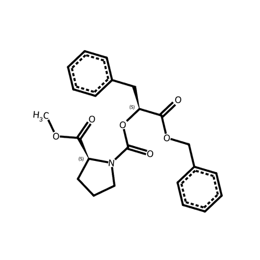 COC(=O)[C@@H]1CCCN1C(=O)O[C@@H](Cc1ccccc1)C(=O)OCc1ccccc1